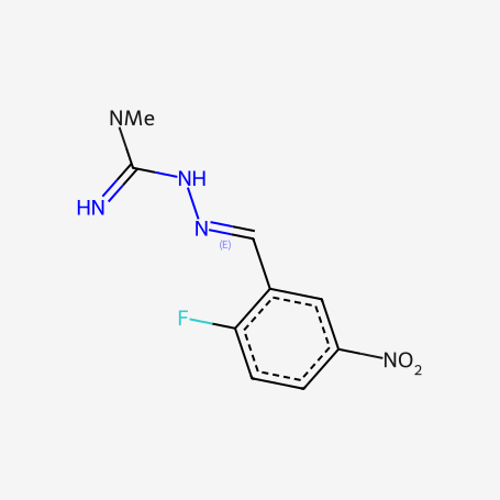 CNC(=N)N/N=C/c1cc([N+](=O)[O-])ccc1F